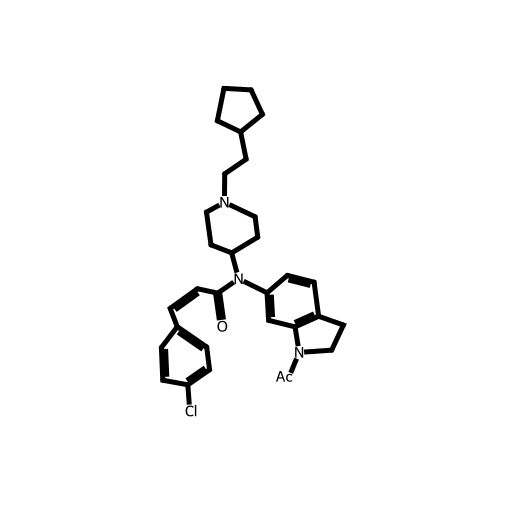 CC(=O)N1CCc2ccc(N(C(=O)/C=C\c3ccc(Cl)cc3)C3CCN(CCC4CCCC4)CC3)cc21